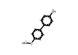 CCCCOc1ccc(-c2ccc(O)cc2)cc1